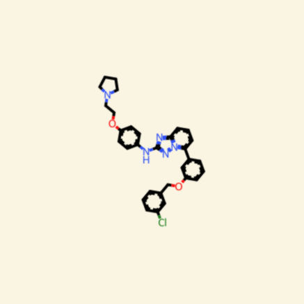 Clc1cccc(COc2cccc(-c3cccc4nc(Nc5ccc(OCCN6CCCC6)cc5)nn34)c2)c1